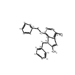 Cc1cc2c(Cl)nnc(OCc3ccccc3)c2n1Cc1ccccc1